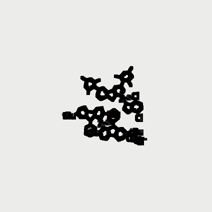 CC(C)(C)c1ccc2c(c1)C(C1CCCCC1)c1c-2ccc(C(C)(C)C)[c]1[Zr+2][c]1c(C(C)(C)C)ccc2c1C(C1CCCCC1)c1cc(C(C)(C)C)ccc1-2.Cc1cc(C)c(-c2ccc3c(c2)-c2cc(-c4c(C)cc(C)cc4C)c[c]([Zr+2][CH]4C=Cc5c(Cl)ccc(Cl)c54)c2C3)c(C)c1.[Cl-].[Cl-].[Cl-].[Cl-]